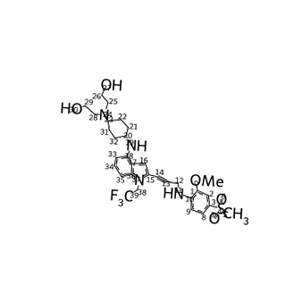 COc1cc(S(C)(=O)=O)ccc1NCC#Cc1cc2c(N[C@H]3CC[C@@H](N(CCO)CCO)CC3)cccc2n1CC(F)(F)F